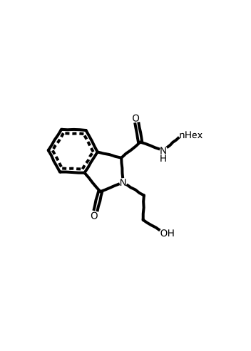 CCCCCCNC(=O)C1c2ccccc2C(=O)N1CCO